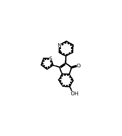 O=C1C(c2cccnc2)=C(c2cccs2)c2ccc(O)cc21